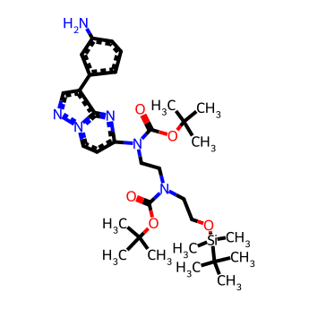 CC(C)(C)OC(=O)N(CCO[Si](C)(C)C(C)(C)C)CCN(C(=O)OC(C)(C)C)c1ccn2ncc(-c3cccc(N)c3)c2n1